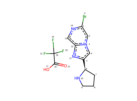 Brc1cn2cc([C@H]3CCCN3)nc2cn1.O=C(O)C(F)(F)F